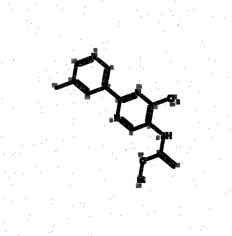 C=C(Nc1cnc(-c2cncc(C)c2)nc1C(F)(F)F)OCC